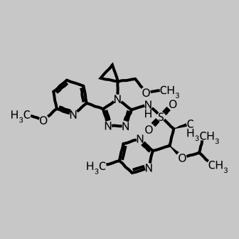 COCC1(n2c(NS(=O)(=O)[C@@H](C)[C@@H](OC(C)C)c3ncc(C)cn3)nnc2-c2cccc(OC)n2)CC1